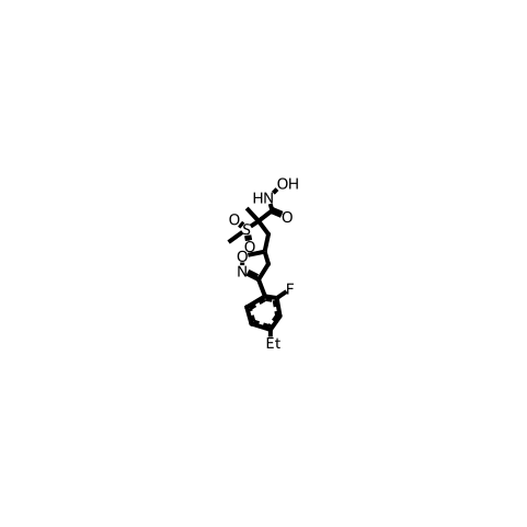 CCc1ccc(C2=NOC(CC(C)(C(=O)NO)S(C)(=O)=O)C2)c(F)c1